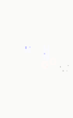 O=C(NCCC1CN(C(=O)O)C1)OCc1ccccc1